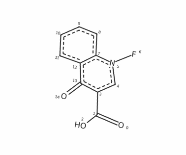 O=C(O)c1cn(F)c2ccccc2c1=O